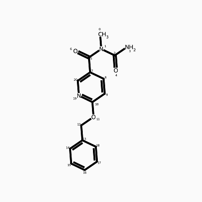 CN(C(N)=O)C(=O)c1ccc(OCc2ccccc2)nc1